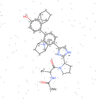 COC(=O)NC(C(=O)N1CCCC1c1nc(-c2ccc(-c3ccc(O)c4c3C3CCC4C3)c3c2C2CCC3N2C)c[nH]1)C(C)C